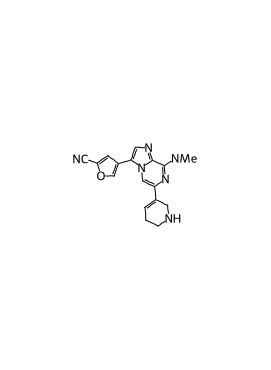 CNc1nc(C2=CCCNC2)cn2c(-c3coc(C#N)c3)cnc12